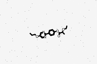 CCCOc1cnc(-c2ccc(OC(=O)C(C)OCC)cc2)nc1